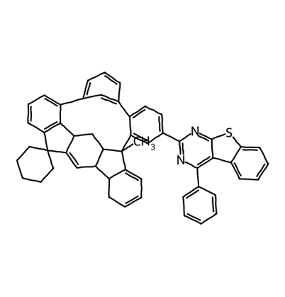 CC12C3=CC=CCC3C3C=C4C(CC31)c1c(cccc1C41CCCCC1)-c1cccc(c1)-c1ccc(-c3nc(-c4ccccc4)c4c(n3)sc3ccccc34)cc12